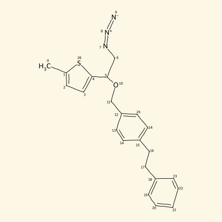 Cc1ccc(C(CN=[N+]=[N-])OCc2ccc(CCc3ccccc3)cc2)s1